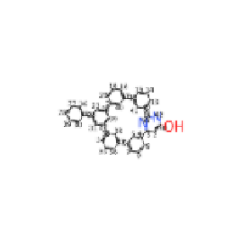 Oc1cc(-c2ccccc2)nc(-c2cccc(-c3cccc(-c4cc(-c5ccccc5)cc(-c5ccccc5)c4)c3)c2)n1